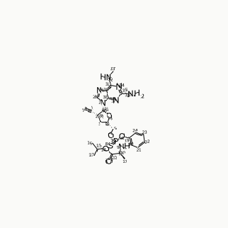 C#C[C@H]1C[C@@H](CO[P@@](=S)(N[C@@H](C)C(=O)OC(C)C)Oc2ccccc2)O[C@H]1n1cnc2c(NC)nc(N)nc21